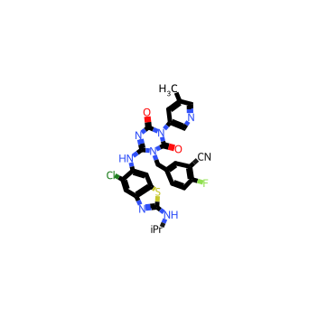 Cc1cncc(-n2c(=O)nc(Nc3cc4sc(NC(C)C)nc4cc3Cl)n(Cc3ccc(F)c(C#N)c3)c2=O)c1